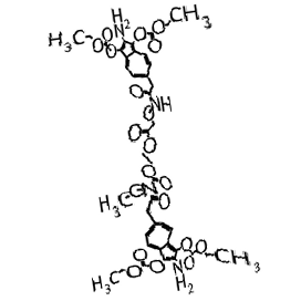 CCOC(=O)Oc1c2ccc(CC(=O)NOCC(=O)OCCOC(=O)N(OC)C(=O)Cc3ccc4c(OC(=O)OCC)c(N)c(OC(=O)OCC)c-4cc3)ccc-2c(OC(=O)OCC)c1N